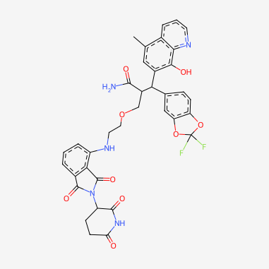 Cc1cc(C(c2ccc3c(c2)OC(F)(F)O3)C(COCCNc2cccc3c2C(=O)N(C2CCC(=O)NC2=O)C3=O)C(N)=O)c(O)c2ncccc12